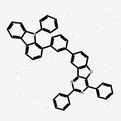 c1ccc(-c2nc(-c3ccccc3)c3oc4ccc(-c5cccc(-c6cccc7c8ccccc8n(-c8ccccc8)c67)c5)cc4c3n2)cc1